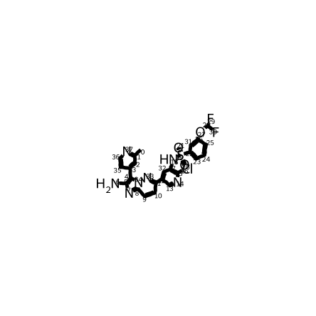 Cc1cc(-c2c(N)nc3ccc(-c4cnc(Cl)c(NS(=O)(=O)c5cccc(OC(F)F)c5)c4)nn23)ccn1